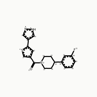 O=C(c1csc(-c2cn[nH]c2)c1)N1CCC(c2cccc(F)c2)CC1